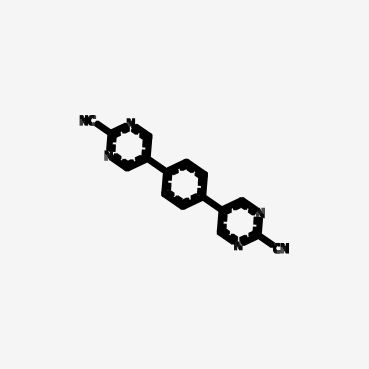 N#Cc1ncc(-c2ccc(-c3cnc(C#N)nc3)cc2)cn1